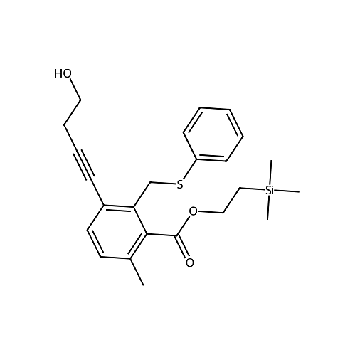 Cc1ccc(C#CCCO)c(CSc2ccccc2)c1C(=O)OCC[Si](C)(C)C